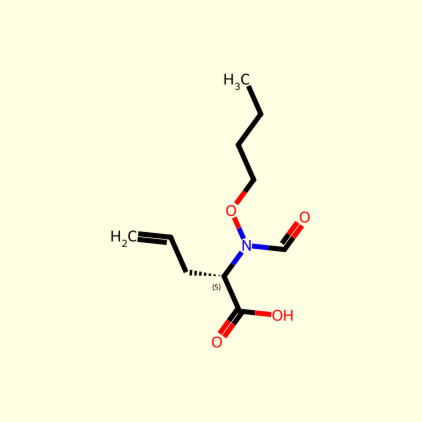 C=CC[C@@H](C(=O)O)N(C=O)OCCCC